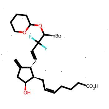 C=C1C[C@H](O)[C@H](C/C=C\CCCC(=O)O)[C@H]1/C=C/C(F)(F)C(CCCC)OC1CCCCO1